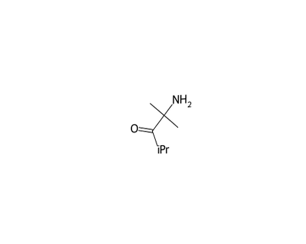 CC(C)C(=O)C(C)(C)N